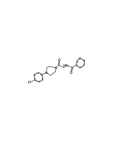 O=C(NCC(=O)N1CCN(c2ccc(Cl)cc2)CC1)c1ccccc1